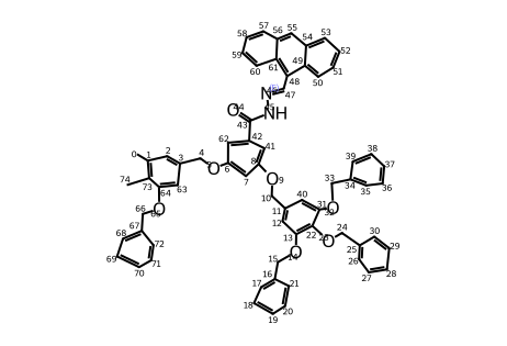 Cc1cc(COc2cc(OCc3cc(OCc4ccccc4)c(OCc4ccccc4)c(OCc4ccccc4)c3)cc(C(=O)N/N=C/c3c4ccccc4cc4ccccc34)c2)cc(OCc2ccccc2)c1C